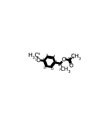 COc1ccc([C@@H](C)OC(C)=O)cc1